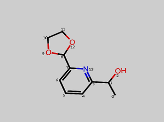 CC(O)c1cccc(C2OCCO2)n1